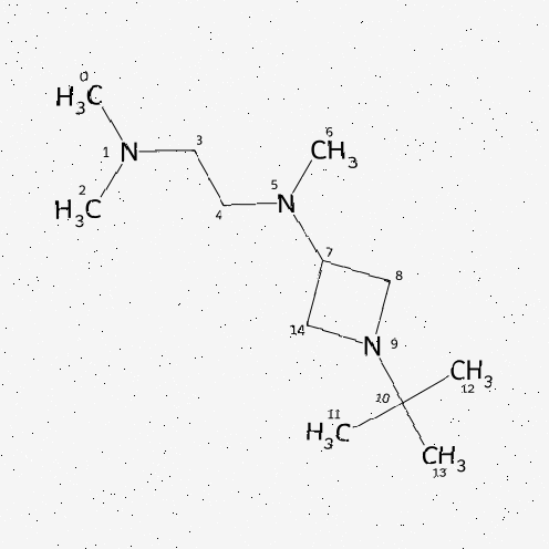 CN(C)CCN(C)C1CN(C(C)(C)C)C1